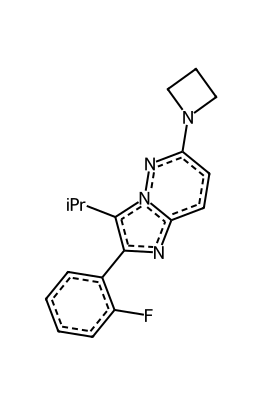 CC(C)c1c(-c2ccccc2F)nc2ccc(N3CCC3)nn12